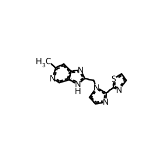 Cc1cc2nc(Cn3ccnc3-c3nccs3)[nH]c2cn1